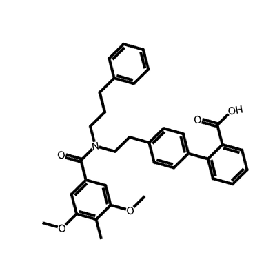 COc1cc(C(=O)N(CCCc2ccccc2)CCc2ccc(-c3ccccc3C(=O)O)cc2)cc(OC)c1C